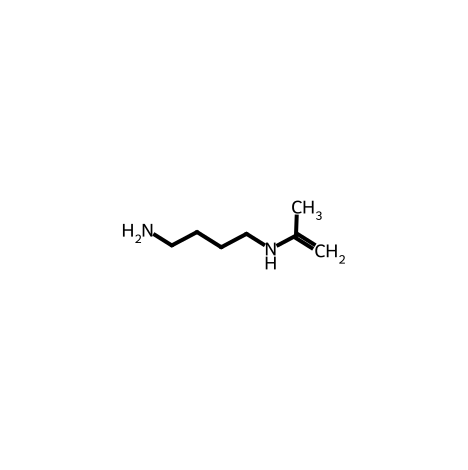 C=C(C)NCCCCN